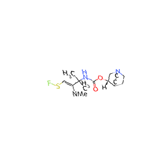 CN/C(=C\SF)C(C)(C)NC(=O)O[C@@H]1CN2CCC1CC2